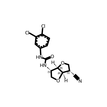 N#C[C@H]1CO[C@H]2[C@@H]1OC[C@@H]2NC(=O)Nc1ccc(Cl)c(Cl)c1